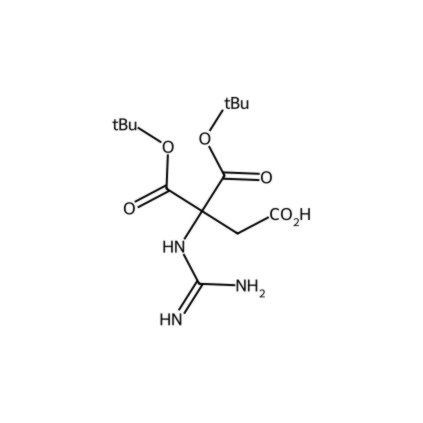 CC(C)(C)OC(=O)C(CC(=O)O)(NC(=N)N)C(=O)OC(C)(C)C